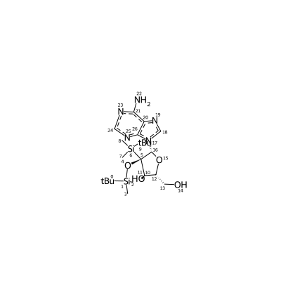 CC(C)(C)[Si](C)(C)O[C@]1([Si](C)(C)C(C)(C)C)[C@H](O)[C@@H](CO)O[C@H]1n1cnc2c(N)ncnc21